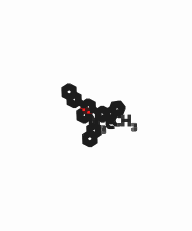 CC1(C)c2ccccc2-c2cc(-c3ccc(-c4ccc5c(c4)CCCC5)cc3)c(N(c3ccccc3)c3ccc4c(c3)CCCC4)cc21